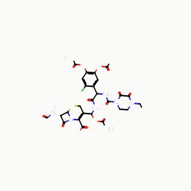 CCN1CCN(C(=O)NC(C(=O)NC(OC(C)=O)C2=C(C(=O)O)N3C(=O)[C@H](NC=O)[C@H]3SC2)c2cc(OC(C)=O)c(OC(C)=O)cc2Cl)C(=O)C1=O